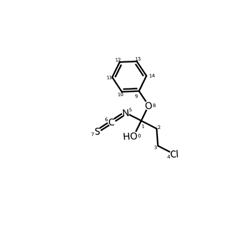 OC(CCCl)(N=C=S)Oc1ccccc1